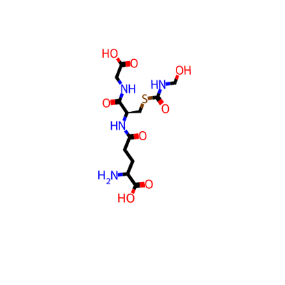 NC(CCC(=O)N[C@H](CSC(=O)NCO)C(=O)NCC(=O)O)C(=O)O